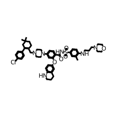 Cc1cc(S(=O)(=O)NC(=O)c2ccc(N3CCN(CC4=C(c5ccc(Cl)cc5)CC(C)(C)CC4)CC3)cc2Oc2ccc3c(c2)CCCN3)ccc1NCCCN1CCOCC1